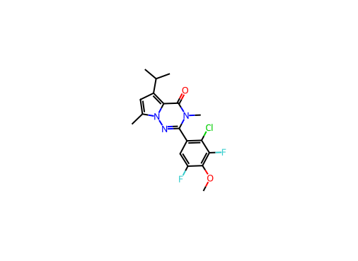 COc1c(F)cc(-c2nn3c(C)cc(C(C)C)c3c(=O)n2C)c(Cl)c1F